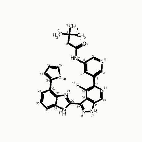 CC(C)(C)CC(=O)Nc1cncc(-c2ncc3[nH]nc(-c4nc5c(-c6cccs6)cccc5[nH]4)c3c2F)c1